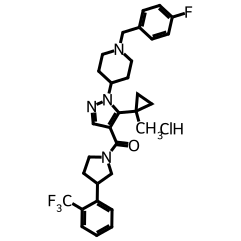 CC1(c2c(C(=O)N3CCC(c4ccccc4C(F)(F)F)C3)cnn2C2CCN(Cc3ccc(F)cc3)CC2)CC1.Cl